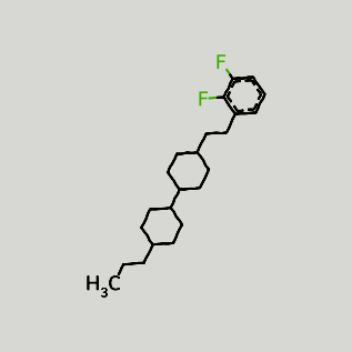 CCCC1CCC(C2CCC(CCc3cccc(F)c3F)CC2)CC1